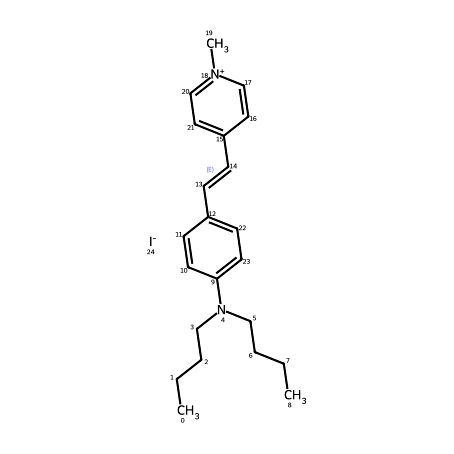 CCCCN(CCCC)c1ccc(/C=C/c2cc[n+](C)cc2)cc1.[I-]